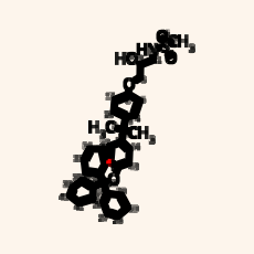 CC(C)(c1ccc(OC[C@H](O)CNS(C)(=O)=O)cc1)c1ccc(OC(c2ccccc2)(c2ccccc2)c2ccccc2)cc1